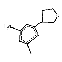 Cc1cc(N)cc(C2CCOC2)n1